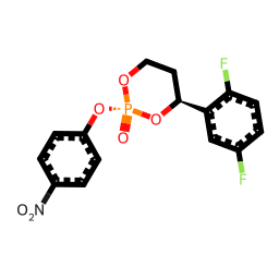 O=[N+]([O-])c1ccc(O[P@]2(=O)OCC[C@@H](c3cc(F)ccc3F)O2)cc1